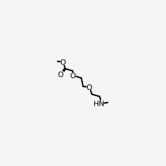 CNCCOCCOCC(=O)OC